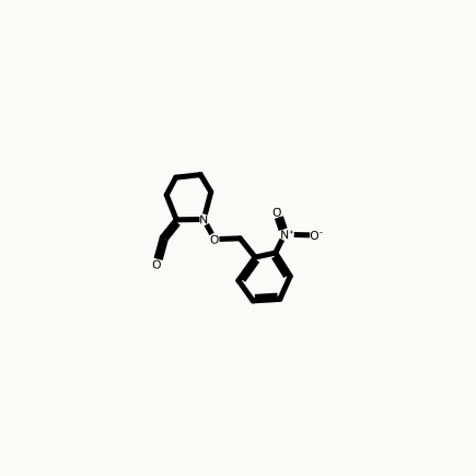 O=C=C1CCCCN1OCc1ccccc1[N+](=O)[O-]